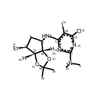 CC[C@H]1C[C@@H](Nc2nc(N(C)C)nc(Cl)c2I)[C@@H]2OC(C)(C)O[C@H]12